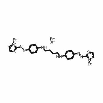 CC[n+]1ccsc1/N=N/c1ccc(NCCCCNc2ccc(/N=N/c3scc[n+]3CC)cc2)cc1.[Br-].[Br-]